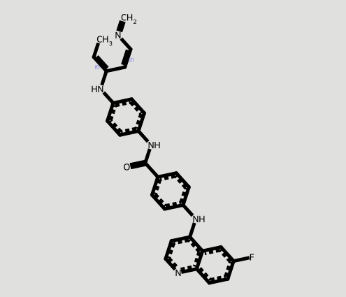 C=N/C=C\C(=C/C)Nc1ccc(NC(=O)c2ccc(Nc3ccnc4ccc(F)cc34)cc2)cc1